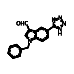 O=Cc1cn(Cc2ccccc2)c2ccc(-c3nnn[nH]3)cc12